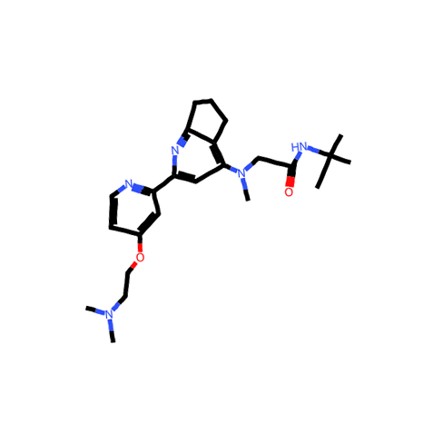 CN(C)CCOc1ccnc(-c2cc(N(C)CC(=O)NC(C)(C)C)c3c(n2)CCC3)c1